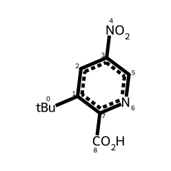 CC(C)(C)c1cc([N+](=O)[O-])cnc1C(=O)O